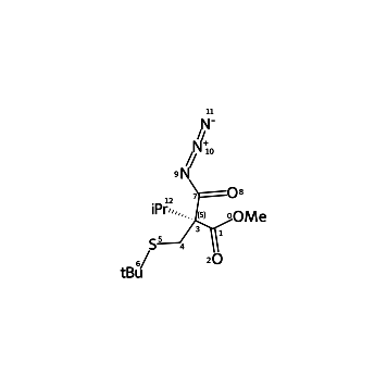 COC(=O)[C@@](CSC(C)(C)C)(C(=O)N=[N+]=[N-])C(C)C